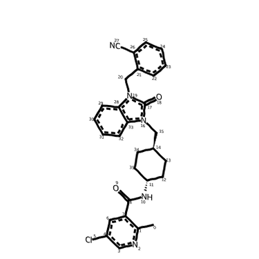 Cc1ncc(Cl)cc1C(=O)N[C@H]1CC[C@H](Cn2c(=O)n(Cc3ccccc3C#N)c3ccccc32)CC1